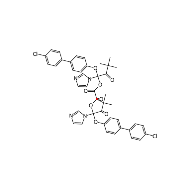 CC(C)(C)C(=O)C(OC(=O)C(=O)OC(Oc1ccc(-c2ccc(Cl)cc2)cc1)(C(=O)C(C)(C)C)n1ccnc1)(Oc1ccc(-c2ccc(Cl)cc2)cc1)n1ccnc1